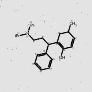 CC1C=CC(O)=C(C(CCN(C(C)C)C(C)C)c2ccccc2)C1